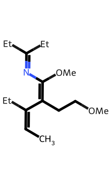 C/C=C(CC)\C(CCOC)=C(/N=C(CC)CC)OC